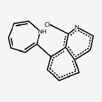 Clc1nccc2cccc(C3=CC=CC=CN3)c12